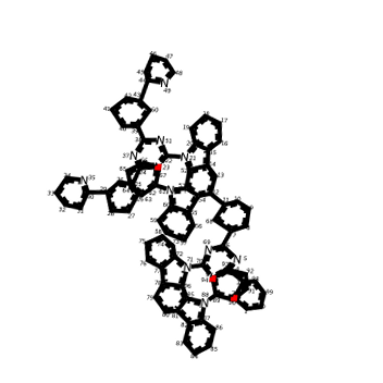 c1ccc(-c2nc(-c3cccc(-c4cc5c6ccccc6n(-c6nc(-c7cccc(-c8ccccn8)c7)nc(-c7cccc(-c8ccccn8)c7)n6)c5c5c4c4ccccc4n5-c4ccccc4)c3)nc(-n3c4ccccc4c4ccc5c6ccccc6n(-c6ccccc6)c5c43)n2)cc1